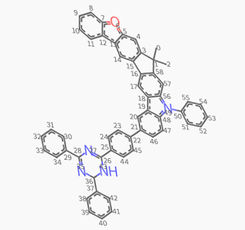 CC1(C)c2cc3oc4ccccc4c3cc2-c2cc3c4cc(-c5ccc(C6=NC(c7ccccc7)=NC(c7ccccc7)N6)cc5)ccc4n(-c4ccccc4)c3cc21